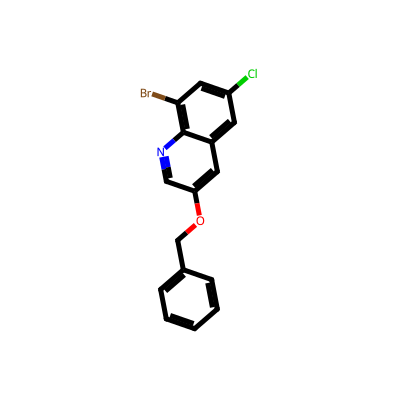 Clc1cc(Br)c2ncc(OCc3ccccc3)cc2c1